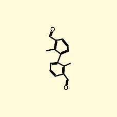 Cc1c(C=O)cccc1-c1cccc(C=O)c1C